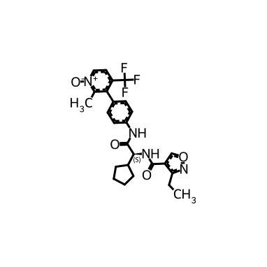 CCc1nocc1C(=O)N[C@H](C(=O)Nc1ccc(-c2c(C(F)(F)F)cc[n+]([O-])c2C)cc1)C1CCCC1